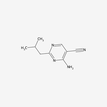 CC(C)Cc1ncc(C#N)c(N)n1